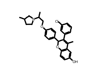 CC1=C(c2cccc(Cl)c2)C(c2ccc(OCC(C)N3CCC(C)C3)cc2)Oc2ccc(O)cc21